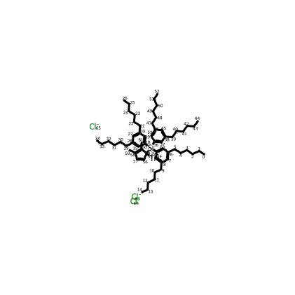 CCCCCCc1cc(CCCCCC)cc([Si](c2cc(CCCCCC)cc(CCCCCC)c2)(c2cc(CCCCCC)cc(CCCCCC)c2)[C]2([Ti+3])C=CC(C)=C2C)c1.[Cl-].[Cl-].[Cl-]